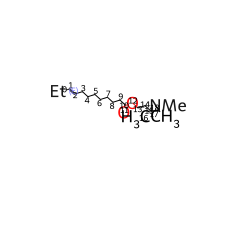 CC/C=C/CCCCCCCC(=O)OCCC(C)(C)NC